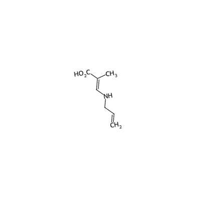 C=CCN/C=C(\C)C(=O)O